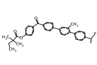 CCC(C)(C)C(=O)Oc1ccc(C(=O)c2ccc(-c3ccc(-c4ccc(C(F)F)cc4)c(C)c3)cc2)cc1